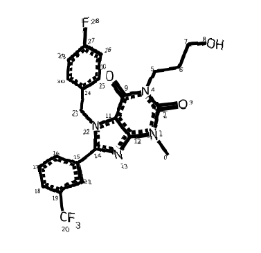 Cn1c(=O)n(CCCO)c(=O)c2c1nc(-c1cccc(C(F)(F)F)c1)n2Cc1ccc(F)cc1